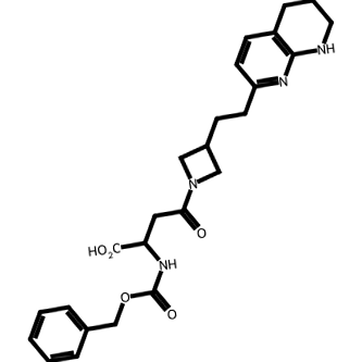 O=C(NC(CC(=O)N1CC(CCc2ccc3c(n2)NCCC3)C1)C(=O)O)OCc1ccccc1